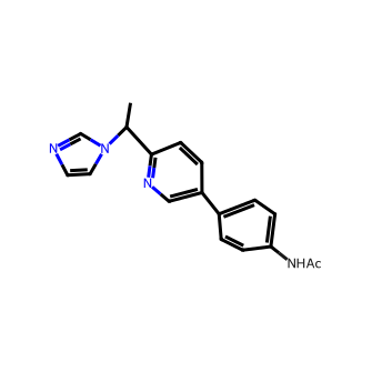 CC(=O)Nc1ccc(-c2ccc(C(C)n3ccnc3)nc2)cc1